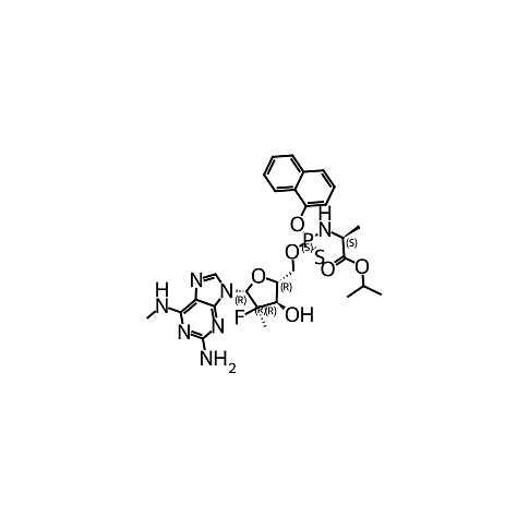 CNc1nc(N)nc2c1ncn2[C@@H]1O[C@H](CO[P@@](=S)(N[C@@H](C)C(=O)OC(C)C)Oc2cccc3ccccc23)[C@@H](O)[C@@]1(C)F